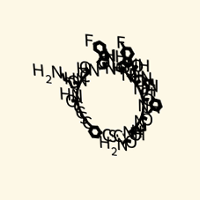 NCCCC[C@@H]1NC(=O)CCSCc2cccc(c2)CSC[C@@H](C(N)=O)NC(=O)[C@@H]2CCCN2C(=O)[C@H](Cc2cccc(Cl)c2)NC(=O)[C@H](Cc2c[nH]cn2)NC(=O)[C@H](CC(=O)O)NC(=O)[C@H](Cc2c[nH]c3ccc(F)cc23)NC(=O)[C@H](Cc2c[nH]c3ccc(F)cc23)NC(=O)CNC1=O